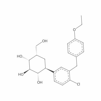 CCOc1ccc(Cc2cc([C@@H]3C[C@@H](CO)[C@@H](O)[C@H](O)[C@H]3O)ccc2Cl)cc1